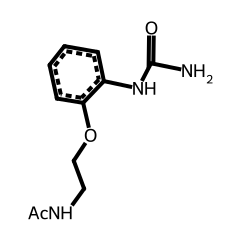 CC(=O)NCCOc1ccccc1NC(N)=O